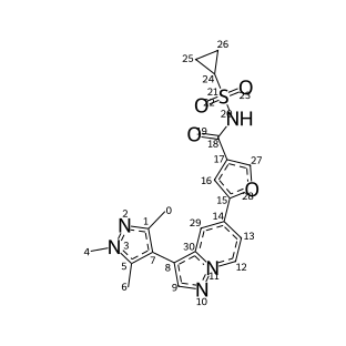 Cc1nn(C)c(C)c1-c1cnn2ccc(-c3cc(C(=O)NS(=O)(=O)C4CC4)co3)cc12